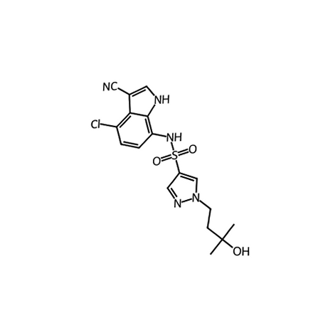 CC(C)(O)CCn1cc(S(=O)(=O)Nc2ccc(Cl)c3c(C#N)c[nH]c23)cn1